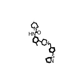 Cc1ccc(NC(=O)N2CC[CH]CC2)cc1C1CCN(Cc2ccc(Sc3ccccn3)cc2)CC1